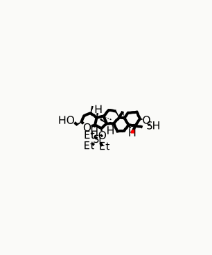 CC[Si](CC)(CC)O[C@H]1[C@H]2O[C@@H](CO)C[C@@H](C)[C@@H]2[C@@]2(C)CC[C@@]34C[C@@]35CC[C@H](OS)C(C)(C)[C@@H]5CC[C@H]4[C@]12C